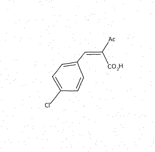 CC(=O)C(=Cc1ccc(Cl)cc1)C(=O)O